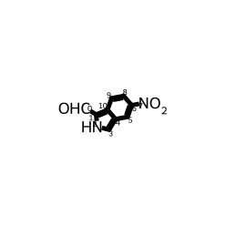 O=Cc1[nH]cc2cc([N+](=O)[O-])ccc12